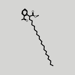 CCCCCCCCCCCCCCCCCCCCC(C(=O)OC)c1ccccc1C(C)=O